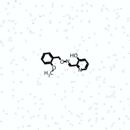 COc1ccccc1CON=Cc1ncccc1O